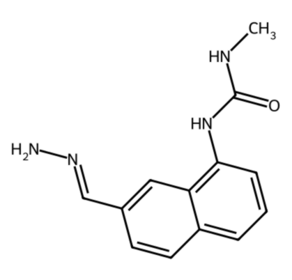 CNC(=O)Nc1cccc2ccc(C=NN)cc12